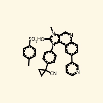 Cc1ccc(S(=O)(=O)O)cc1.Cn1c(=O)n(-c2ccc(C3(C#N)CC3)cc2)c2c3cc(-c4cccnc4)ccc3ncc21